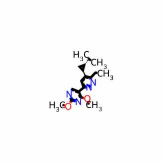 CCc1nnc(-c2cnc(OC)nc2OC)cc1[C@H]1C[C@@H]1C(C)C